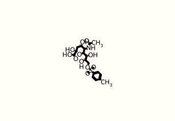 CC(=O)NC1C([C@H](O)[C@H](O)COS(=O)(=O)c2ccc(C)cc2)OC(O)(C(=O)O)C[C@H]1O